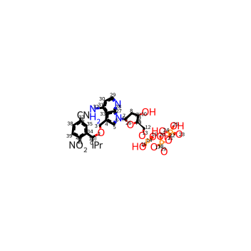 CC(C)[C@H](OCc1cn([C@H]2C[C@@H](O)[C@@H](COP(=O)(O)OP(=O)(O)OP(=O)(O)O)O2)c2nccc(N)c12)c1cc(C#N)ccc1[N+](=O)[O-]